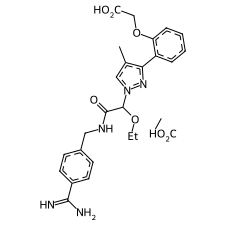 CC(=O)O.CCOC(C(=O)NCc1ccc(C(=N)N)cc1)n1cc(C)c(-c2ccccc2OCC(=O)O)n1